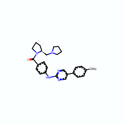 COc1ccc(-c2cnc(Nc3ccc(C(=O)N4CCC[C@H]4CN4CCCC4)cc3)nc2)cc1